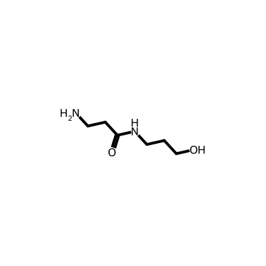 NCCC(=O)NCCCO